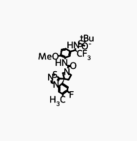 COc1ccc([C@@H](N[S@@+]([O-])C(C)(C)C)C(F)(F)F)cc1NC(=O)N1CC[C@](c2ccc(C)c(F)c2)(c2ncns2)C1